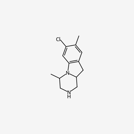 Cc1cc2c(cc1Cl)N1C(C)CNCC1C2